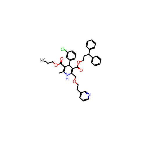 CC1=C(C(=O)OCCC#N)C(c2cccc(Cl)c2)C(C(=O)OCCC(c2ccccc2)c2ccccc2)=C(COCCc2cccnc2)N1